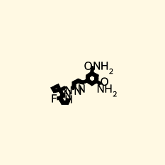 NC(=O)c1cc(C(N)=O)cc(-c2ccc(NCC3(c4ncccc4F)CCC3)nn2)c1